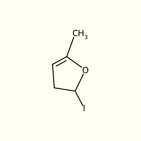 CC1=CCC(I)O1